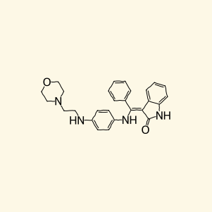 O=C1Nc2ccccc2/C1=C(/Nc1ccc(NCCN2CCOCC2)cc1)c1ccccc1